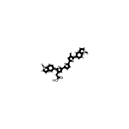 Cc1cc(-c2ccc(-c3cc(CC(=O)O)c(-c4ccc5c(ccn5C)c4)s3)s2)sc1-c1ccc2c(ccn2C)c1